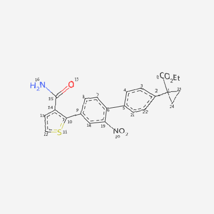 CCOC(=O)C1(c2ccc(-c3ccc(-c4sccc4C(N)=O)cc3[N+](=O)[O-])cc2)CC1